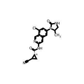 CC1CNC(=O)N1c1cc(Cl)c2cnc(NC(=O)[C@@H]3CC3C#N)cc2c1